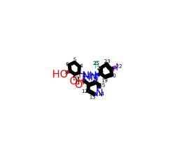 O=C(N[C@H]1CCCC(O)[C@@H]1O)c1ccncc1Nc1ccc(I)cc1F